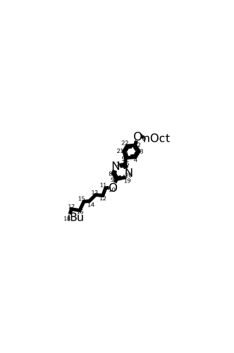 CCCCCCCCOc1ccc(-c2ncc(OCCCCCCCC(C)CC)cn2)cc1